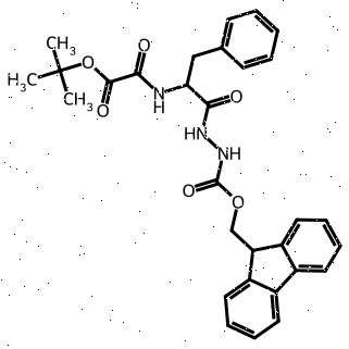 CC(C)(C)OC(=O)C(=O)NC(Cc1ccccc1)C(=O)NNC(=O)OCC1c2ccccc2-c2ccccc21